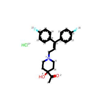 CC(=O)C1(O)CCN(CC=C(c2ccc(F)cc2)c2ccc(F)cc2)CC1.Cl